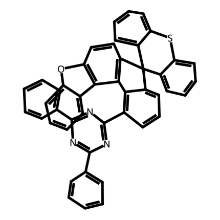 c1ccc(-c2nc(-c3ccccc3)nc(-c3cccc4c3-c3c(ccc5oc6ccccc6c35)C43c4ccccc4Sc4ccccc43)n2)cc1